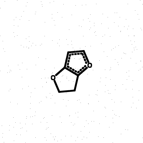 c1cc2c(o1)CCO2